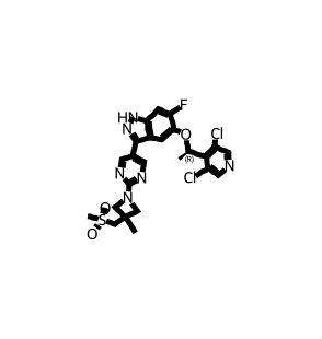 C[C@@H](Oc1cc2c(-c3cnc(N4CC(C)(CS(C)(=O)=O)C4)nc3)n[nH]c2cc1F)c1c(Cl)cncc1Cl